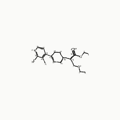 CCOCC(C(=O)OCC)C1CC=C(c2ccnc(F)c2C)CC1